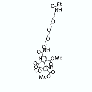 CCC(=O)NCCCOCCOCCOCCONC(=O)c1cc(C(=O)OC)c2c(n1)C(=O)C1(OCCO1)c1cc(C(=O)OC)[nH]c1-2